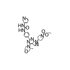 CCOC(=O)N1CCC(n2ncc3c(N4CCOC[C@@H]4C)nc(-c4ccc(NC(=O)Nc5cccnc5)cc4)nc32)CC1